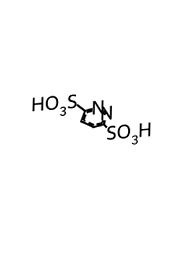 O=S(=O)(O)c1ccc(S(=O)(=O)O)nn1